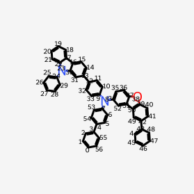 c1ccc(-c2ccc(N(c3ccc(-c4ccc5c6ccccc6n(-c6ccccc6)c5c4)cc3)c3ccc4oc5ccc(-c6ccccc6)cc5c4c3)cc2)cc1